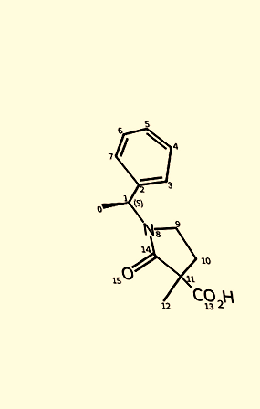 C[C@@H](c1ccccc1)N1CCC(C)(C(=O)O)C1=O